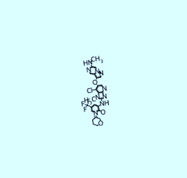 CNc1cn2ncc(Oc3cnc4nc(Nc5cc(C(F)(F)F)cn([C@H]6CCCOC6)c5=O)n(C)c4c3Cl)c2cn1